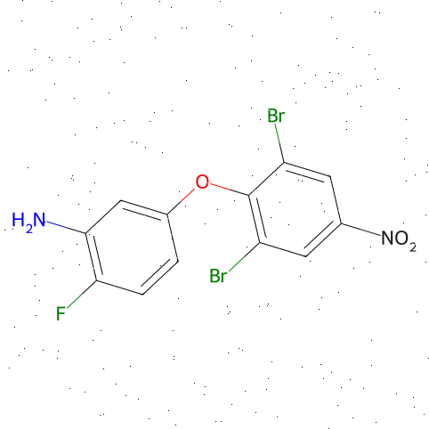 Nc1cc(Oc2c(Br)cc([N+](=O)[O-])cc2Br)ccc1F